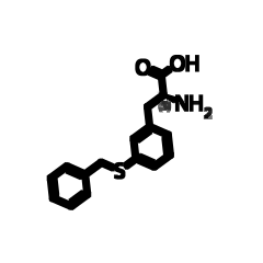 N[C@@H](Cc1cccc(SCc2ccccc2)c1)C(=O)O